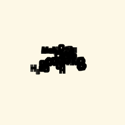 CN[C@@H](C)C(=O)N[C@H](C(=O)N1C[C@@H](NS(=O)(=O)c2ccc3ccc(S(C)(=O)=O)cc3c2)C[C@H]1C(=O)N[C@@H]1CCCc2ccccc21)C(C)(C)C